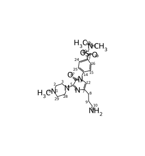 CN1CCN(c2nc(CCCN)cn(-c3ccc(S(=O)(=O)N(C)C)cc3)c2=O)CC1